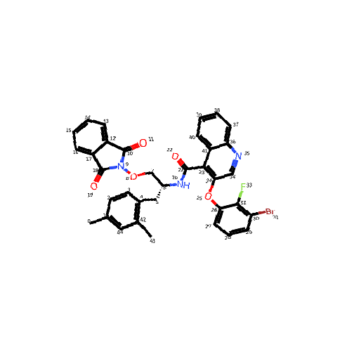 Cc1ccc(C[C@H](CON2C(=O)c3ccccc3C2=O)NC(=O)c2c(Oc3cccc(Br)c3F)cnc3ccccc23)c(C)c1